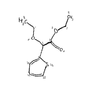 CCOC(=O)C(OCC)c1cccs1